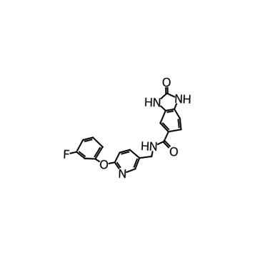 O=C(NCc1ccc(Oc2cccc(F)c2)nc1)c1ccc2[nH]c(=O)[nH]c2c1